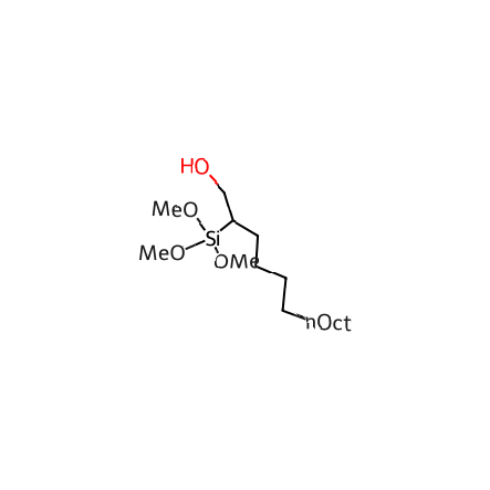 CCCCCCCCCCCCC(CO)[Si](OC)(OC)OC